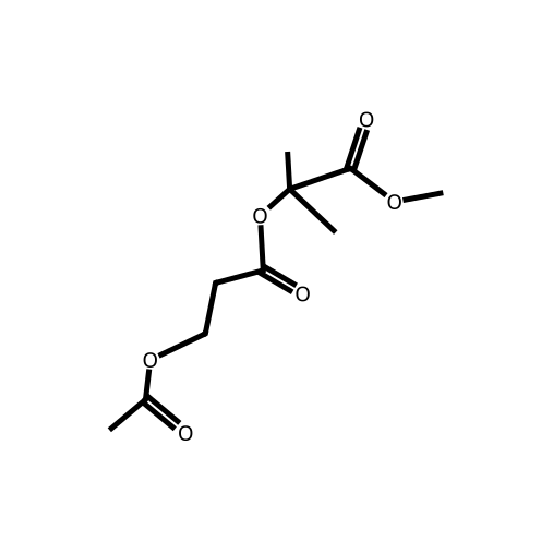 COC(=O)C(C)(C)OC(=O)CCOC(C)=O